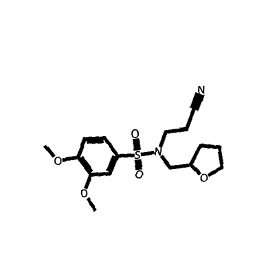 COc1ccc(S(=O)(=O)N(CCC#N)CC2CCCO2)cc1OC